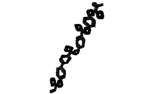 C=CC(=O)Oc1ccc(-c2ccc(C(=O)Oc3ccc(C(=O)Oc4ccc(OC(=O)C(=C)C)cc4)cc3)cc2)cc1